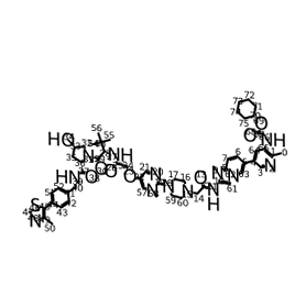 Cc1ncc(-c2ccc3nc(NC(=O)CN4CCN(c5ncc(OCC(=O)N[C@H](C(=O)N6C[C@H](O)C[C@H]6C(=O)NCc6ccc(-c7scnc7C)cc6)C(C)(C)C)cn5)CC4)cn3c2)cc1NC(=O)OC1CCCCC1